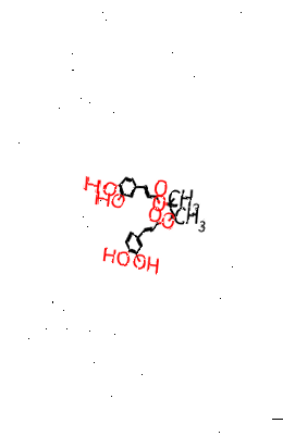 CC(OC(=O)C=Cc1ccc(O)c(O)c1)C(C)OC(=O)C=Cc1ccc(O)c(O)c1